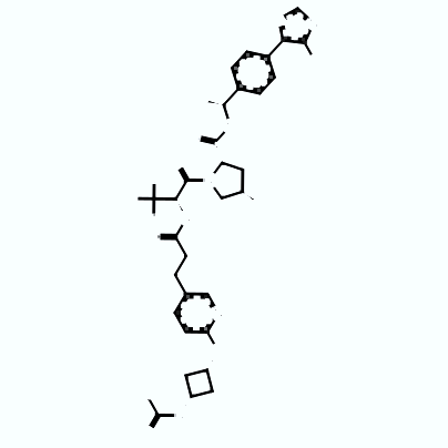 Cc1ncsc1-c1ccc([C@H](C)NC(=O)[C@@H]2C[C@@H](O)CN2C(=O)[C@@H](NC(=O)CCc2ccc(O[C@H]3C[C@@H](NC(=O)I)C3)nc2)C(C)(C)C)cc1